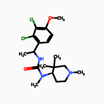 COc1ccc(C(C)NC(=O)N(C)[C@@H]2CCN(C)CC2(C)C)c(Cl)c1Cl